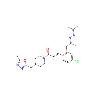 CC(C)=N/N=C(\C)Cc1cc(Cl)ccc1/C=C/C(=O)N1CCC(Cc2nnc(C)o2)CC1